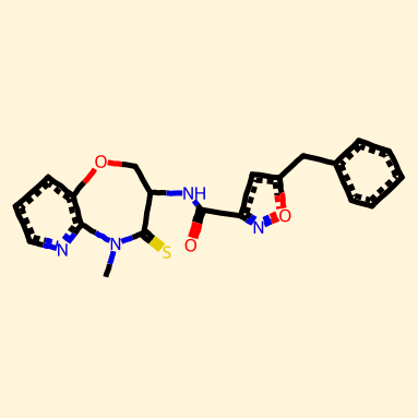 CN1C(=S)C(NC(=O)c2cc(Cc3ccccc3)on2)COc2cccnc21